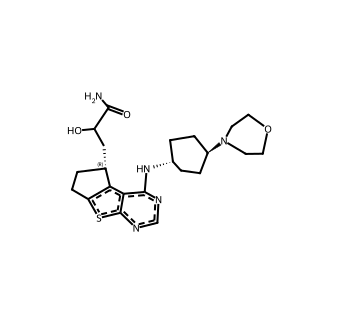 NC(=O)C(O)C[C@H]1CCc2sc3ncnc(N[C@H]4CC[C@H](N5CCOCC5)CC4)c3c21